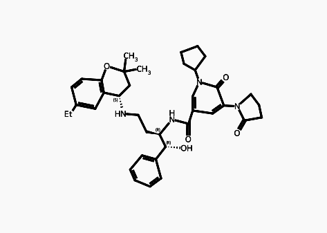 CCc1ccc2c(c1)[C@@H](NCC[C@@H](NC(=O)c1cc(N3CCCC3=O)c(=O)n(C3CCCC3)c1)[C@H](O)c1ccccc1)CC(C)(C)O2